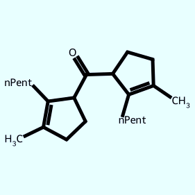 CCCCCC1=C(C)CCC1C(=O)C1CCC(C)=C1CCCCC